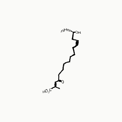 CCCCCC[C@@H](O)C/C=C\CCCCCCCC(=O)/C=C(\C)C(=O)O